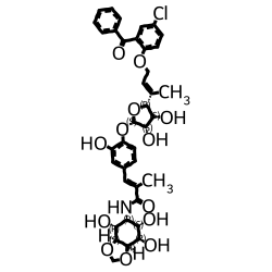 CC(=Cc1ccc(O[C@@H]2O[C@H](C(C)=CCOc3ccc(Cl)cc3C(=O)c3ccccc3)[C@@H](O)[C@@H]2O)c(O)c1)C(=O)N[C@@H]1[C@H](O)[C@@H](O)[C@H]2OCO[C@H]2[C@@H]1O